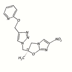 C[C@]1(Cn2cc(COc3ccccn3)nn2)Cn2cc([N+](=O)[O-])nc2O1